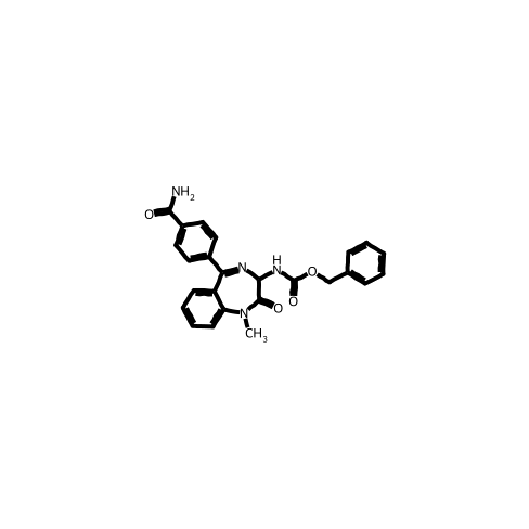 CN1C(=O)C(NC(=O)OCc2ccccc2)N=C(c2ccc(C(N)=O)cc2)c2ccccc21